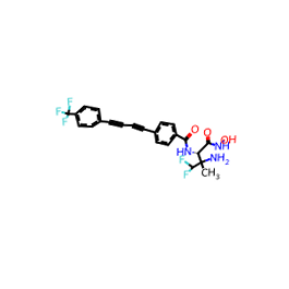 CC(N)(C(F)F)[C@H](NC(=O)c1ccc(C#CC#Cc2ccc(C(F)(F)F)cc2)cc1)C(=O)NO